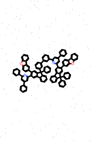 c1ccc(-c2cc(-c3cccc(-c4cccc(C5(c6ccccc6)c6ccccc6-c6cc(-c7cc(-c8ccccc8)cc(-c8ccccc8)n7)c(-c7ccc8oc9ccccc9c8c7)cc65)c4)c3)nc(-c3cc4c(cc3-c3ccc5c(c3)oc3ccccc35)C(c3ccccc3)(c3ccccc3)c3ccccc3-4)c2)cc1